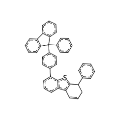 C1=Cc2c(sc3c(-c4ccc(C5(c6ccccc6)c6ccccc6-c6ccccc65)cc4)cccc23)C(c2ccccc2)C1